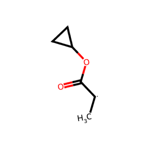 C[CH]C(=O)OC1CC1